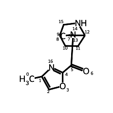 Cc1coc(C(=O)N2CC3CCC(C2)NC3)n1